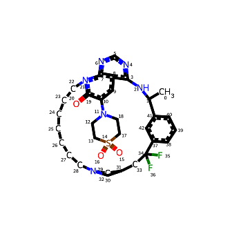 CC1Nc2ncnc3c2cc(N2CCS(=O)(=O)CC2)c(=O)n3CCCCCCCN2CC(C2)CC(F)(F)c2cccc1c2